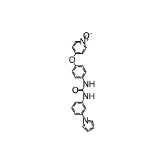 O=C(Nc1ccc(Oc2cc[n+]([O-])cc2)cc1)Nc1cccc(-n2cccc2)c1